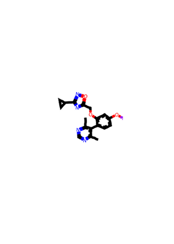 Cc1ncnc(C)c1-c1ccc(OI)cc1OCc1nc(C2CC2)no1